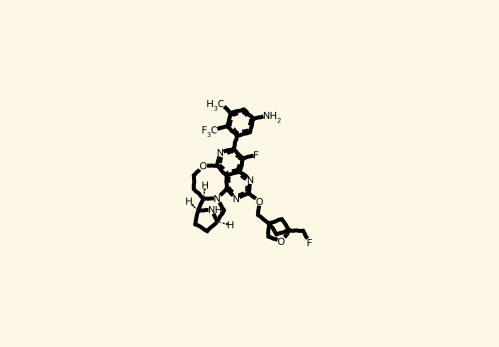 Cc1cc(N)cc(-c2nc3c4c(nc(OCC56COC(CF)(C5)C6)nc4c2F)N2C[C@H]4CC[C@H](N4)[C@H]2CCO3)c1C(F)(F)F